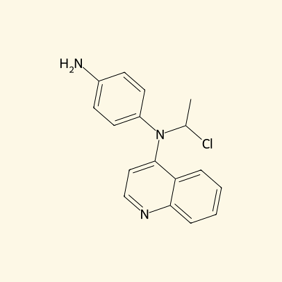 CC(Cl)N(c1ccc(N)cc1)c1ccnc2ccccc12